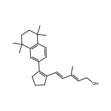 CC(/C=C/C1=C(c2ccc3c(c2)C(C)(C)CCC3(C)C)CCC1)=C\CO